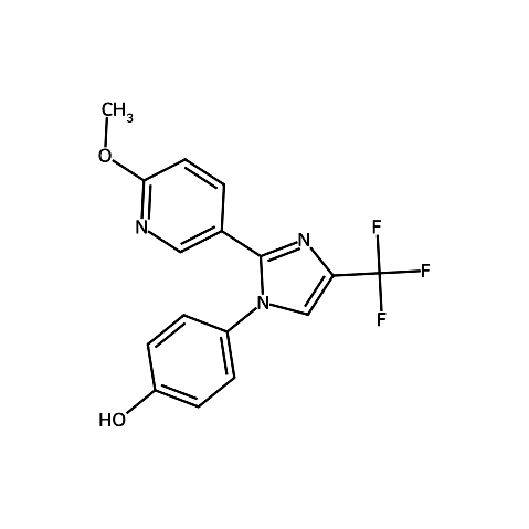 COc1ccc(-c2nc(C(F)(F)F)cn2-c2ccc(O)cc2)cn1